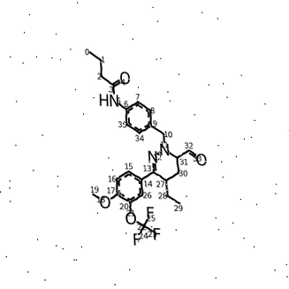 CCCC(=O)Nc1ccc(CN2N=C(c3ccc(OC)c(OC(F)(F)F)c3)C(CC)CC2C=O)cc1